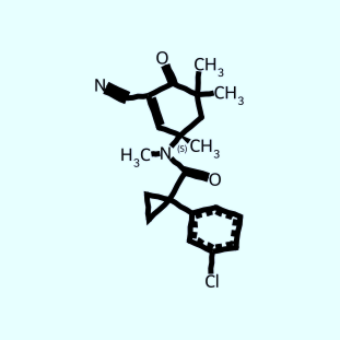 CN(C(=O)C1(c2cccc(Cl)c2)CC1)[C@]1(C)C=C(C#N)C(=O)C(C)(C)C1